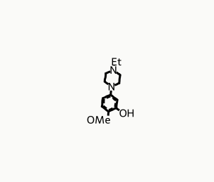 CCN1CCN(c2ccc(OC)c(O)c2)CC1